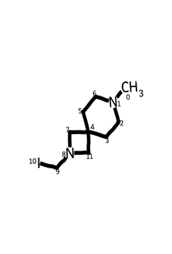 CN1CCC2(CC1)CN(CI)C2